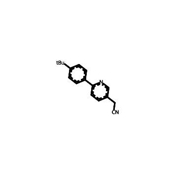 CC(C)(C)c1ccc(-c2ccc(CC#N)cn2)cc1